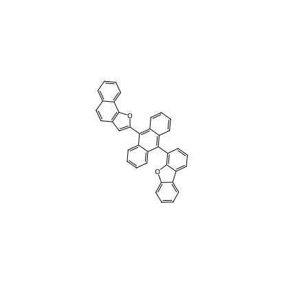 c1ccc2c(c1)ccc1cc(-c3c4ccccc4c(-c4cccc5c4oc4ccccc45)c4ccccc34)oc12